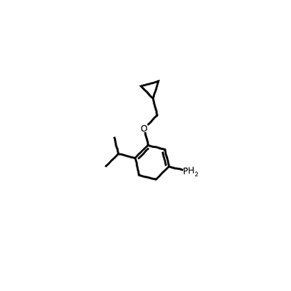 CC(C)C1=C(OCC2CC2)C=C(P)CC1